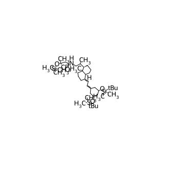 C[C@H](CNC(=O)C[C@@](C)(O[Si](C)(C)C)C(F)(F)F)[C@H]1CCC[C@H]2/C(=C/C=C3C[C@@H](O[Si](C)(C)C(C)(C)C)C[C@H](O[Si](C)(C)C(C)(C)C)C3)CCC[C@]12C